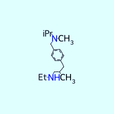 CCNCC(C)Cc1ccc(CN(C)C(C)C)cc1